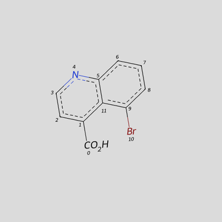 O=C(O)c1ccnc2cccc(Br)c12